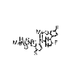 CNC(=O)[N+](C)([O-])CC1=CC(Nc2ncc(F)c(-c3ccc(F)cc3OC)n2)=CCC1=S